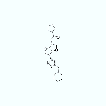 O=C(CC1COC2C1OCC2n1cc(CC2CCCCC2)nn1)C1CCCC1